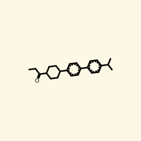 CCC(=O)C1CCC(c2ccc(-c3ccc(C(C)C)cc3)cc2)CC1